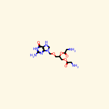 NCC(=O)OCC(COCN1CNc2c1nc(N)[nH]c2=O)OC(=O)CN